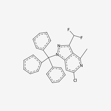 Cc1nc(Cl)cc2c1c(C(F)F)nn2C(c1ccccc1)(c1ccccc1)c1ccccc1